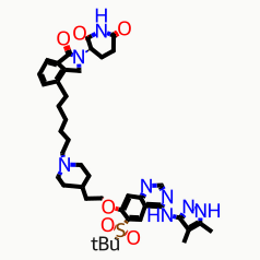 Cc1[nH]nc(Nc2ncnc3cc(OCCC4CCN(CCCCCCc5cccc6c5CN([C@H]5CCC(=O)NC5=O)C6=O)CC4)c(S(=O)(=O)C(C)(C)C)cc23)c1C